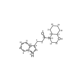 O=C(CCc1c[nH]c2ccccc12)N1CCOC2CCCCC21